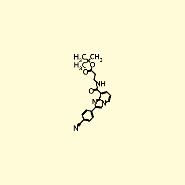 CC(C)(C)OC(=O)CCNC(=O)c1cccn2cc(-c3ccc(C#N)cc3)nc12